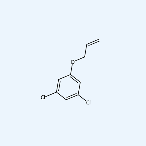 C=CCOc1cc(Cl)[c]c(Cl)c1